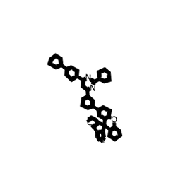 c1ccc(-c2ccc(-c3cc(-c4cccc(-c5ccc6c(c5)C5(c7ccccc7O6)c6ccccc6-c6ccccc65)c4)nc(-c4ccccc4)n3)cc2)cc1